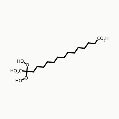 O=C(O)CCCCCCCCCCCCCC(OO)(OO)C(=O)O